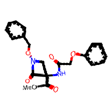 COC(=O)C1(NC(=O)COc2ccccc2)CN(OCc2ccccc2)C1=O